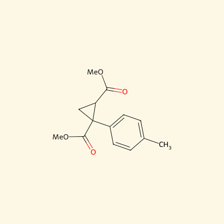 COC(=O)C1CC1(C(=O)OC)c1ccc(C)cc1